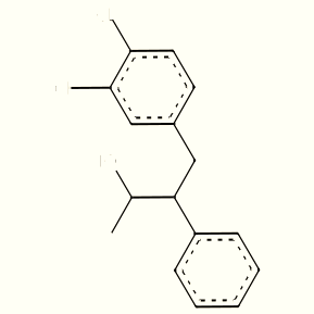 CC(O)C(Cc1ccc(Cl)c(Cl)c1)c1ccccc1